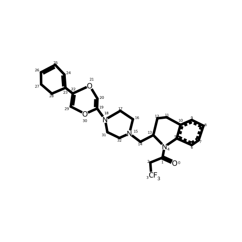 O=C(CC(F)(F)F)N1c2ccccc2CCC1CN1CCN(C2=COC(C3=CC=CCC3)=CO2)CC1